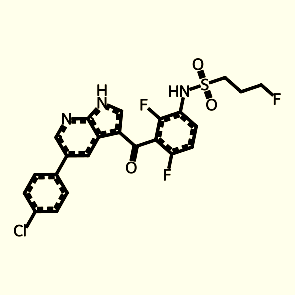 O=C(c1c(F)ccc(NS(=O)(=O)CCCF)c1F)c1c[nH]c2ncc(-c3ccc(Cl)cc3)cc12